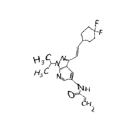 C=CC(=O)Nc1cnc2c(c1)c(C=CC1CCC(F)(F)CC1)nn2C(C)C